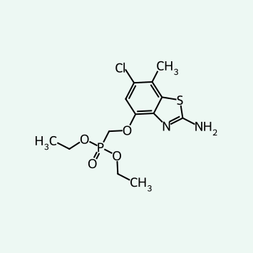 CCOP(=O)(COc1cc(Cl)c(C)c2sc(N)nc12)OCC